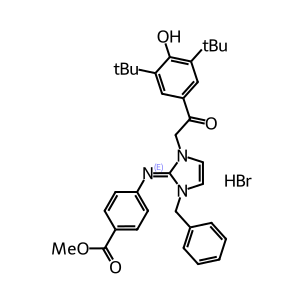 Br.COC(=O)c1ccc(/N=c2/n(CC(=O)c3cc(C(C)(C)C)c(O)c(C(C)(C)C)c3)ccn2Cc2ccccc2)cc1